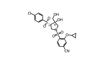 N#Cc1ccc(S(=O)(=O)N2C[C@H](S(=O)(=O)c3ccc(Cl)cc3)[C@](O)(CO)C2)c(OC2CC2)c1